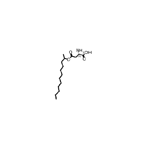 CCCCCCCCCCC(C)OC(=O)C[C@H](N)C(=O)O